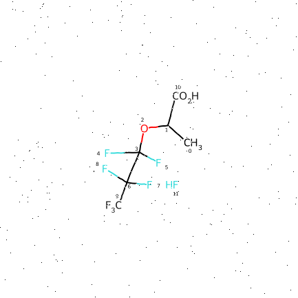 CC(OC(F)(F)C(F)(F)C(F)(F)F)C(=O)O.F